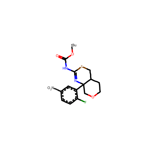 CC(C)(C)OC(=O)NC1=NC2(c3cc([N+](=O)[O-])ccc3F)COCCC2CS1